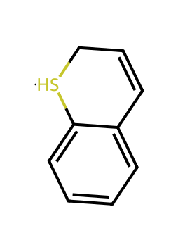 C1=Cc2ccccc2[SH]C1